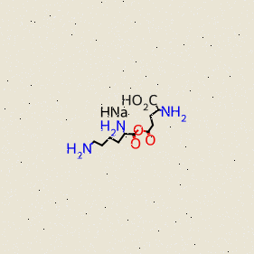 NCCCC[C@H](N)C(=O)OC(=O)CC[C@H](N)C(=O)O.[NaH]